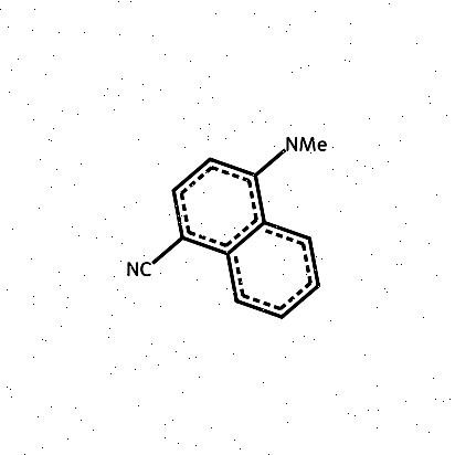 CNc1ccc(C#N)c2ccccc12